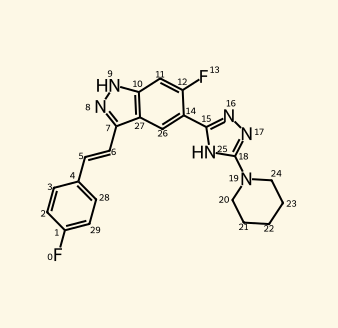 Fc1ccc(/C=C/c2n[nH]c3cc(F)c(-c4nnc(N5CCCCC5)[nH]4)cc23)cc1